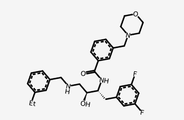 CCc1cccc(CNC[C@H](O)[C@@H](Cc2cc(F)cc(F)c2)NC(=O)c2cccc(CN3CCOCC3)c2)c1